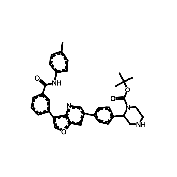 Cc1ccc(NC(=O)c2cccc(-c3coc4cc(-c5ccc(C6CNCCN6C(=O)OC(C)(C)C)cc5)cnc34)c2)cc1